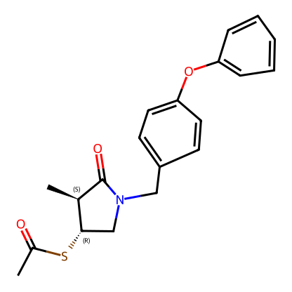 CC(=O)S[C@H]1CN(Cc2ccc(Oc3ccccc3)cc2)C(=O)[C@@H]1C